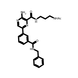 CC(=O)NCCCNC(=O)c1nc(-c2cccc(C(=O)NCc3ccccc3)c2)cnc1N